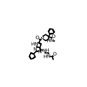 CNC(=O)C1(c2ccccc2)CCN(C(=O)c2cc3c(NCCNC(C)=O)nc(-c4ccccc4)nc3[nH]2)CC1